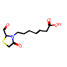 O=CC1SCC(=O)N1CCCCCCC(=O)O